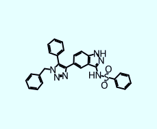 O=S(=O)(Nc1n[nH]c2ccc(-c3nnn(Cc4ccccc4)c3-c3ccccc3)cc12)c1ccccc1